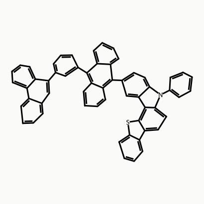 c1ccc(-n2c3ccc(-c4c5ccccc5c(-c5cccc(-c6cc7ccccc7c7ccccc67)c5)c5ccccc45)cc3c3c4sc5ccccc5c4ccc32)cc1